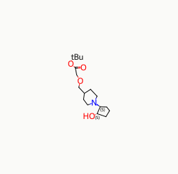 CC(C)(C)OC(=O)COCC1CCN([C@H]2CCC[C@@H]2O)CC1